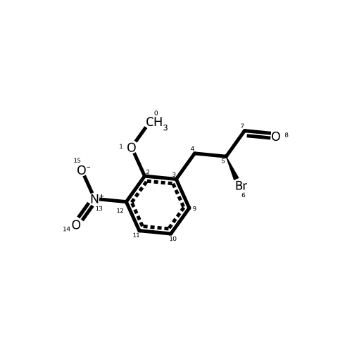 COc1c(C[C@H](Br)C=O)cccc1[N+](=O)[O-]